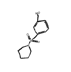 O=Nc1[c]ccc(S(=O)(=O)N2CCCCC2)c1